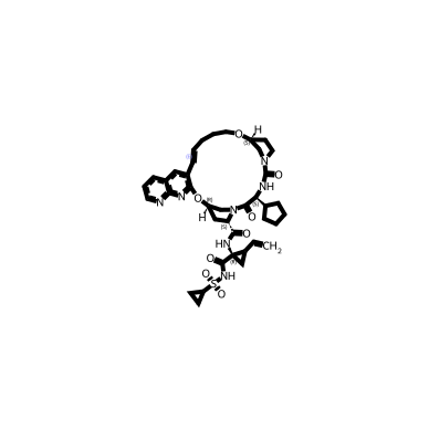 C=CC1C[C@]1(NC(=O)[C@@H]1C[C@@H]2CN1C(=O)[C@H](C1CCCC1)NC(=O)N1CC[C@@H](C1)OCCC/C=C/c1cc3cccnc3nc1O2)C(=O)NS(=O)(=O)C1CC1